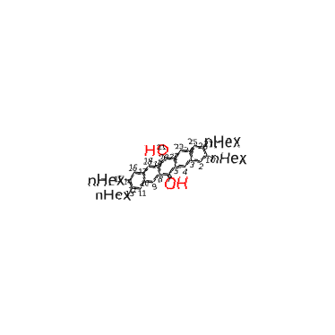 CCCCCCc1cc2cc3c(O)c4cc5cc(CCCCCC)c(CCCCCC)cc5cc4c(O)c3cc2cc1CCCCCC